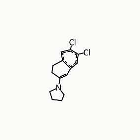 Clc1cc2c(cc1Cl)CCC(N1CCCC1)=C2